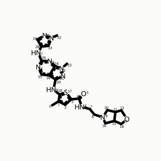 Cc1cc(C(=O)NCCN2CC3COCC3C2)sc1Nc1nn(C)c2nc(Nc3cnn(C)c3)ncc12